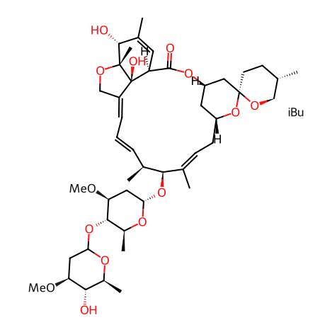 CC[C@H](C)[C@H]1O[C@]2(CC[C@@H]1C)C[C@@H]1C[C@@H](C/C=C(\C)[C@@H](O[C@H]3C[C@H](OC)[C@@H](OC4C[C@H](OC)[C@@H](O)[C@H](C)O4)[C@H](C)O3)[C@@H](C)/C=C/C=C3\CO[C@]4(C)[C@H](O)C(C)=C[C@@H](C(=O)O1)[C@]34O)O2